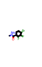 CN(N)C(=O)c1ccc(Br)c(F)c1F